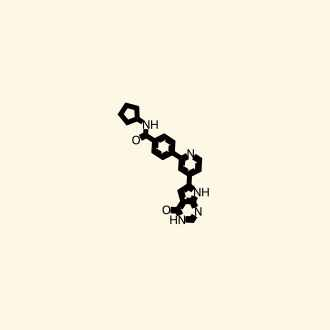 O=C(NC1CCCC1)c1ccc(-c2cc(-c3cc4c(=O)[nH]cnc4[nH]3)ccn2)cc1